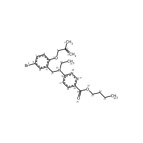 C=C(C)COc1ccc(Br)cc1CN(CC)c1ccc(C(=O)OCCCC)nn1